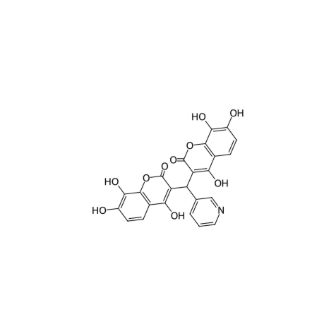 O=c1oc2c(O)c(O)ccc2c(O)c1C(c1cccnc1)c1c(O)c2ccc(O)c(O)c2oc1=O